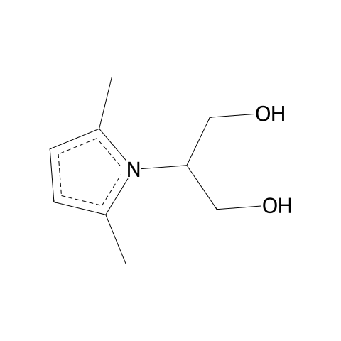 Cc1ccc(C)n1C(CO)CO